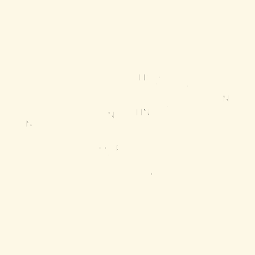 N#Cc1ccc(Nc2ccc(C(F)(F)F)cc2Nc2ccc(C#N)cc2C(=O)O)c(C(=O)O)c1